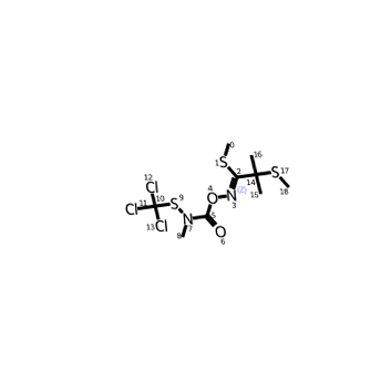 CS/C(=N\OC(=O)N(C)SC(Cl)(Cl)Cl)C(C)(C)SC